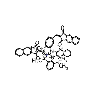 CC(C)c1cccc(C(C)C)c1N1/C(=C/C=C2C(=O)c3cc4ccccc4cc3C2=O)N(c2cc(C=C3C(=O)c4cc5ccccc5cc4C3=O)ccc2N(C)C)c2nc3ccccc3nc21